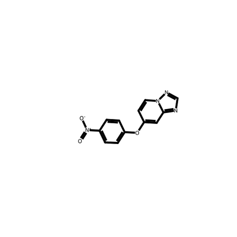 O=[N+]([O-])c1ccc(Oc2ccn3ncnc3c2)cc1